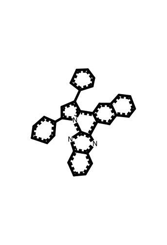 c1ccc(-c2cc(-c3ccccc3)n3c4nc5ccccc5nc4c4cc5ccccc5cc4c23)cc1